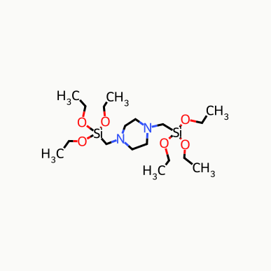 CCO[Si](CN1CCN(C[Si](OCC)(OCC)OCC)CC1)(OCC)OCC